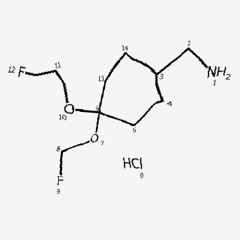 Cl.NCC1CCC(OCF)(OCF)CC1